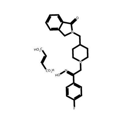 O=C(O)C=CC(=O)O.O=C1c2ccccc2CN1CC1CCN(CC(=NO)c2ccc(F)cc2)CC1